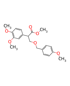 COC(=O)C(COCc1ccc(OC)cc1)c1ccc(OC)c(OC)c1